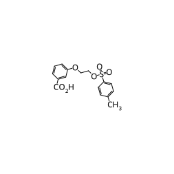 Cc1ccc(S(=O)(=O)OCCOc2cccc(C(=O)O)c2)cc1